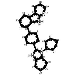 c1ccc(-n2c(-c3ccc(-c4cccc5c4[nH]c4ncccc45)cc3)nc3ccccc32)cc1